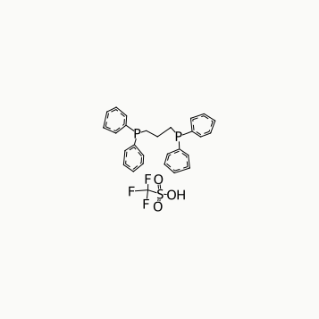 O=S(=O)(O)C(F)(F)F.c1ccc(P(CCCP(c2ccccc2)c2ccccc2)c2ccccc2)cc1